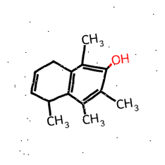 Cc1c(C)c2c(c(C)c1O)CC=CC2C